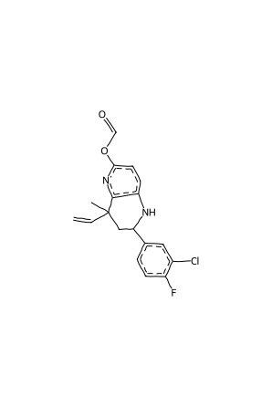 C=CC1(C)CC(c2ccc(F)c(Cl)c2)Nc2ccc(OC=O)nc21